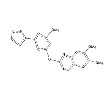 COc1cc(Oc2ncc3cc(OC)c(OC)cc3n2)cc(-n2cccn2)c1